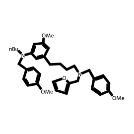 CCCCN(Cc1ccc(OC)cc1)c1cc(CCCCN(Cc2ccc(OC)cc2)Cc2ccco2)cc(OC)c1